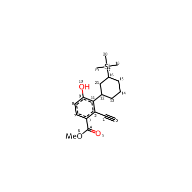 C#Cc1c(C(=O)OC)ccc(O)c1C1CCCC([Si](C)(C)C)C1